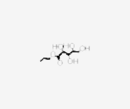 CCCOC(=O)[C@@H](O)[C@H](O)[C@H](O)CO